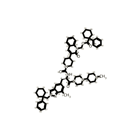 Cc1cc(C[C@@H](NC(=O)N2CCC(c3cc4ccccc4n(COC(=O)C4(c5ccccc5)CCCCC4)c3=O)CC2)C(=O)N2CCN(C3CCN(C)CC3)CC2)cc2cn(CC3(c4ccccc4)CCCCC3)nc12